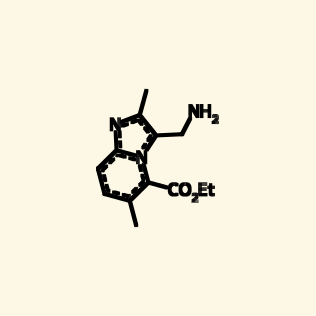 CCOC(=O)c1c(C)ccc2nc(C)c(CN)n12